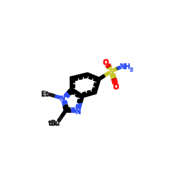 CCn1c(C(C)(C)C)nc2cc(S(N)(=O)=O)ccc21